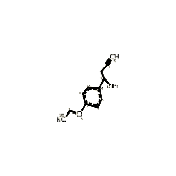 C#CCC(c1ccc(OCC#N)cc1)C(C)C